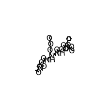 COCCOCCOCCN(CCNC(=O)COc1ccc(C(C)=O)n(C)c1=O)CCNC(=O)COc1ccc(C(=O)OC)n(OCc2ccccc2)c1=O